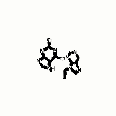 C=Cn1cnc2cncnc21.Clc1nc(Cl)c2[nH]cnc2n1